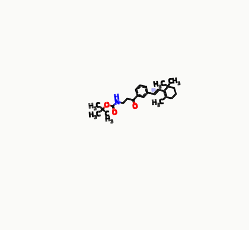 CC1=C(/C=C/c2cccc(C(=O)CCNC(=O)OC(C)(C)C)c2)C(C)(C)CCC1